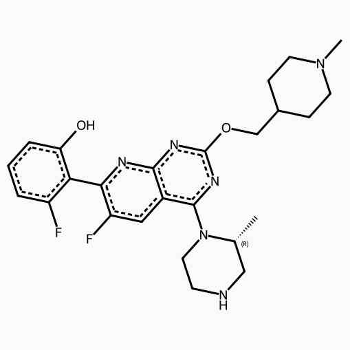 C[C@@H]1CNCCN1c1nc(OCC2CCN(C)CC2)nc2nc(-c3c(O)cccc3F)c(F)cc12